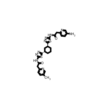 Cc1ccc(CC(=O)Nc2nnc([C@H]3CCC[C@H](c4nnc(NC(=O)Cc5ccc(N)cn5)s4)C3)s2)nc1